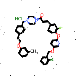 Cc1cccc(OCCc2ccc(CN3CCN(C(=O)C=Cc4ccc(Oc5ccc(OCc6ccccc6Cl)cn5)c(F)c4)CC3)cc2)c1.Cl